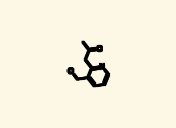 CC(=O)Cc1ncccc1C[O]